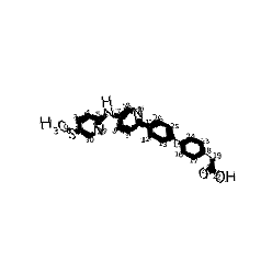 CSc1ccc(Nc2ccc(-c3ccc([C@H]4CC[C@@H](CC(=O)O)CC4)cc3)nc2)nc1